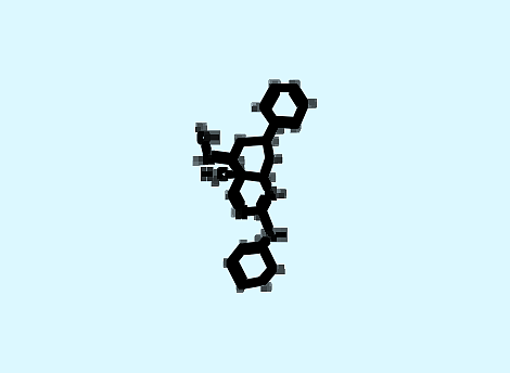 C[C@]12C=NC(NC3=CC=CCC3)=NC1CC(c1ccccc1)C/C2=N\O